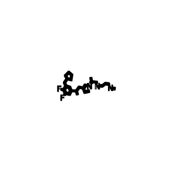 C=C/C(=C\N=C(/C)C/N=C\C=C/N=C)CC(C)c1cc(F)c(F)c(CC2CCCC2)c1